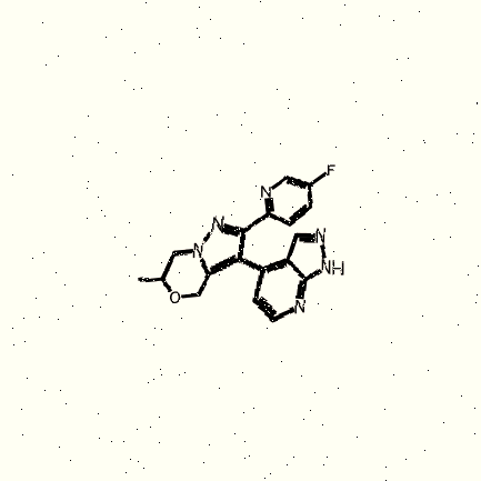 CC1Cn2nc(-c3ccc(F)cn3)c(-c3ccnc4[nH]ncc34)c2CO1